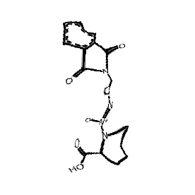 O=C(O)[C@@H]1CCCN1[N+]([O-])=NOCN1C(=O)c2ccccc2C1=O